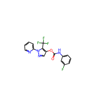 O=C(Nc1cccc(F)c1)Oc1cnn(-c2ccccn2)c1C(F)(F)F